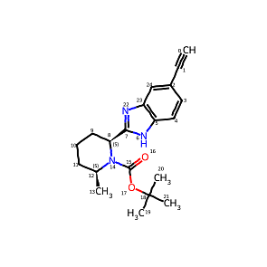 C#Cc1ccc2[nH]c([C@@H]3CCC[C@H](C)N3C(=O)OC(C)(C)C)nc2c1